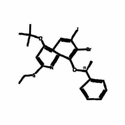 CCSc1cc(OC(C)(C)C)c2cc(I)c(Br)c(O[C@@H](C)c3ccccc3)c2n1